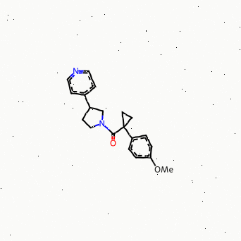 COc1ccc(C2(C(=O)N3CCC(c4ccncc4)C3)CC2)cc1